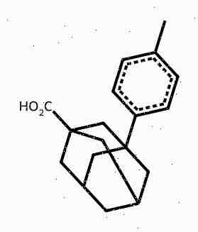 Cc1ccc(C23CC4CC(CC(C(=O)O)(C4)C2)C3)cc1